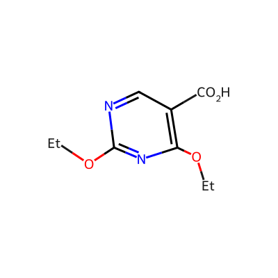 CCOc1ncc(C(=O)O)c(OCC)n1